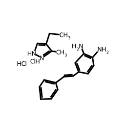 CCc1c[nH]nc1C.Cl.Cl.Nc1ccc(C=Cc2ccccc2)cc1N